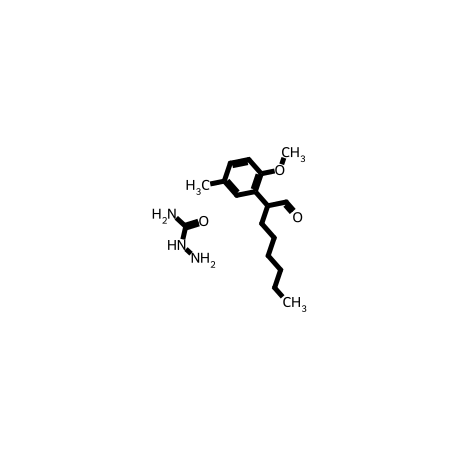 CCCCCCC(C=O)c1cc(C)ccc1OC.NNC(N)=O